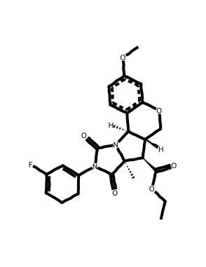 CCOC(=O)[C@@H]1[C@H]2COc3cc(OC)ccc3[C@@H]2N2C(=O)N(C3=CC(F)=CCC3)C(=O)[C@]12C